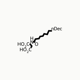 CCCCCCCCCCCCCCCCCCC(=O)N[C@@H](CC(=O)O)C(=O)O